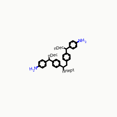 CCCCCCCCCCC(c1ccc(N)cc1)c1ccc(CC(CCCCCCC)c2ccc(C(CCCCCCCCCC)c3ccc(N)cc3)cc2)cc1